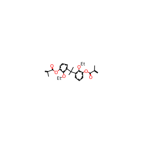 C=C(C)C(=O)Oc1cccc(C(C)(C)c2cccc(OC(=O)C(=C)C)c2OCC)c1OCC